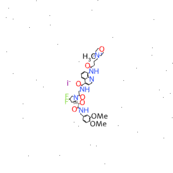 COc1ccc(CNC(=O)C(=O)[C@@H]2CC(F)(F)CN2C(=O)CNC(=O)c2ccnc3c(NC(=O)CCC[N+]4(C)CCOCC4)cccc23)cc1OC.[I-]